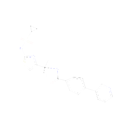 CC(C)(NC(=O)c1ccc(-c2cccnc2)cc1)c1csc(NS(=O)(=O)C2CC2)n1